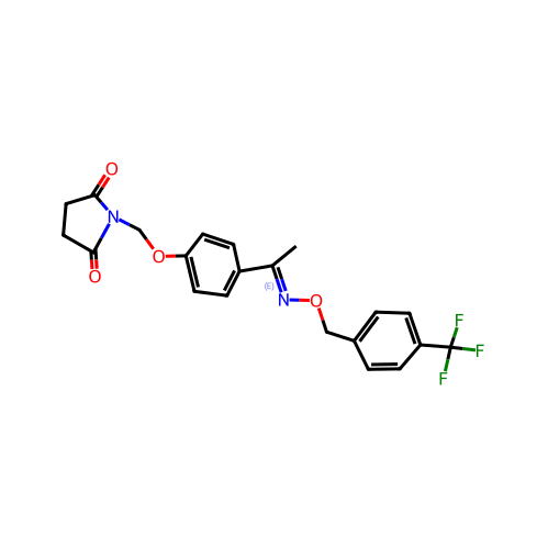 C/C(=N\OCc1ccc(C(F)(F)F)cc1)c1ccc(OCN2C(=O)CCC2=O)cc1